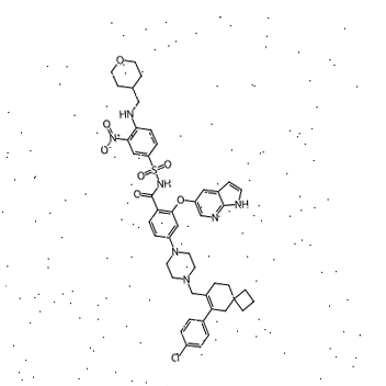 O=C(NS(=O)(=O)c1ccc(NCC2CCOCC2)c([N+](=O)[O-])c1)c1ccc(N2CCN(CC3=C(c4ccc(Cl)cc4)CC4(CCC4)CC3)CC2)cc1Oc1cnc2[nH]ccc2c1